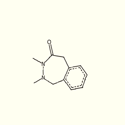 CN1Cc2ccccc2CC(=O)N1C